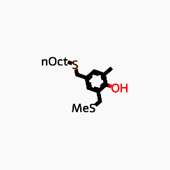 CCCCCCCCSCc1cc(C)c(O)c(CSC)c1